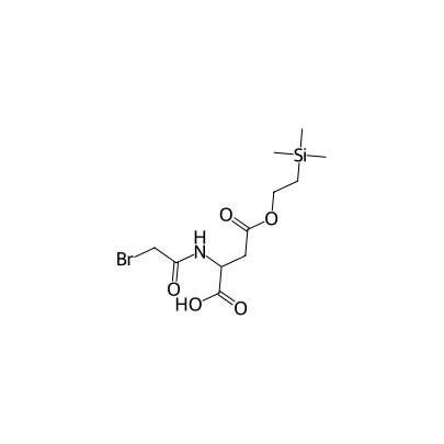 C[Si](C)(C)CCOC(=O)CC(NC(=O)CBr)C(=O)O